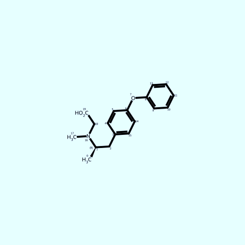 C[C@H](Cc1ccc(Oc2ccccc2)cc1)N(C)CC(=O)O